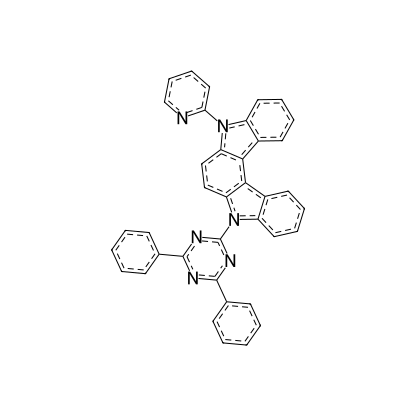 c1ccc(-c2nc(-c3ccccc3)nc(-n3c4ccccc4c4c5c6ccccc6n(-c6ccccn6)c5ccc43)n2)cc1